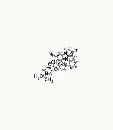 COC1(COc2cnc(-c3cccc(Cn4c(=O)ccn5c6cc(C#N)ccc6nc45)c3)nc2)CCN(C(C)C)CC1